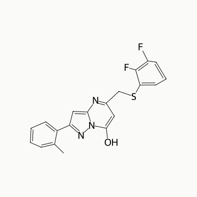 Cc1ccccc1-c1cc2nc(CSc3cccc(F)c3F)cc(O)n2n1